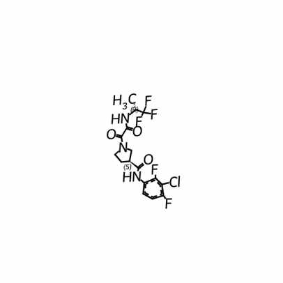 C[C@@H](NC(=O)C(=O)N1CC[C@H](C(=O)Nc2ccc(F)c(Cl)c2F)C1)C(F)(F)F